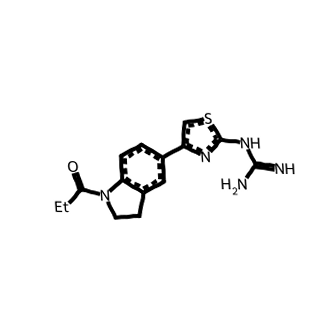 CCC(=O)N1CCc2cc(-c3csc(NC(=N)N)n3)ccc21